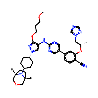 COCCCOc1nn([C@H]2CC[C@H](N3[C@@H]4CC[C@H]3COC4)CC2)cc1Nc1ncc(-c2ccc(C#N)c(O[C@@H](C)Cn3cncn3)c2)cn1